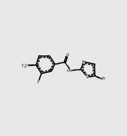 CC(C)c1cnc(NC(=O)c2ccc(C(F)(F)F)c(F)c2)s1